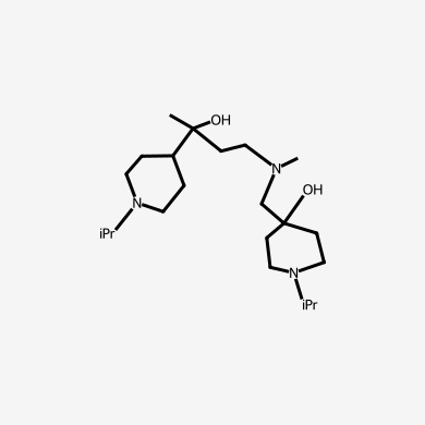 CC(C)N1CCC(C(C)(O)CCN(C)CC2(O)CCN(C(C)C)CC2)CC1